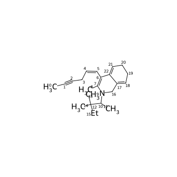 CC#CC/C=C\C1=C(C)N(C(C)C(C)(C)CC)CC2=CCCC=C21